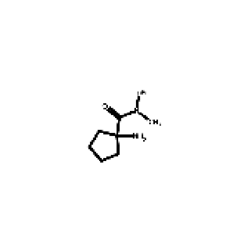 CCCN(C)C(=O)C1(N)CCCC1